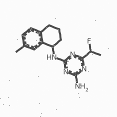 Cc1ccc2c(c1)C(Nc1nc(N)nc(C(C)F)n1)CCC2